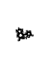 Cc1nc2ncnc-2c(-c2ccco2)[nH]1